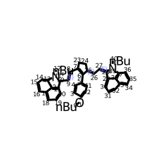 CCCCOc1ccc(C2=C(/C=C/C3=[N+](CCCC)c4cccc5cccc3c45)CC/C2=C\C=c2/c3cccc4cccc(c43)n2CCCC)cc1